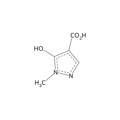 Cn1ncc(C(=O)O)c1O